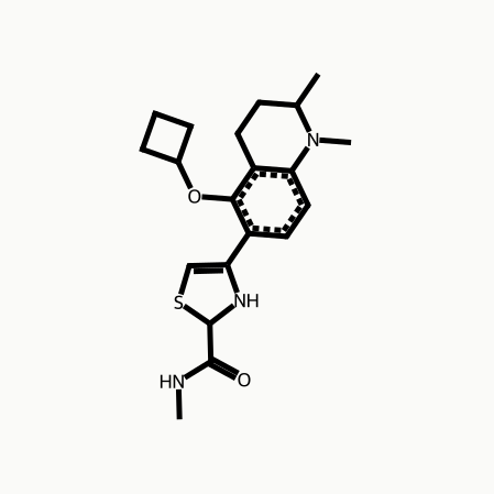 CNC(=O)C1NC(c2ccc3c(c2OC2CCC2)CCC(C)N3C)=CS1